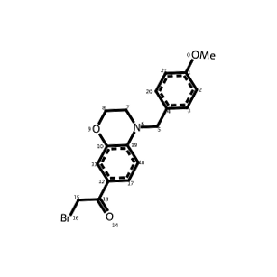 COc1ccc(CN2CCOc3cc(C(=O)CBr)ccc32)cc1